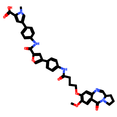 COc1cc2c(cc1OCCCC(=O)Nc1ccc(-c3coc(C(=O)Nc4ccc(-c5cc(C(=O)O)n(C)c5)cc4)c3)cc1)N=CC1CCCN1C2=O